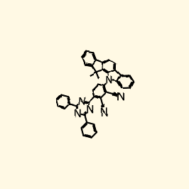 CC1(C)c2ccccc2-c2ccc3c4ccccc4n(-c4ccc(-c5nc(-c6ccccc6)nc(-c6ccccc6)n5)c(C#N)c4C#N)c3c21